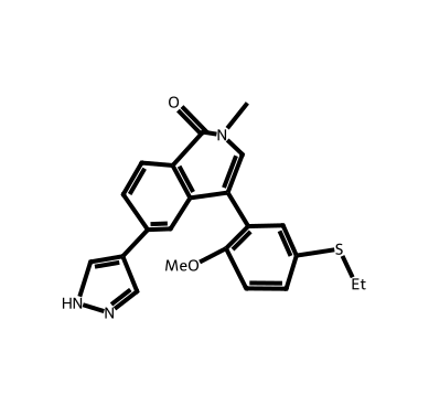 CCSc1ccc(OC)c(-c2cn(C)c(=O)c3ccc(-c4cn[nH]c4)cc23)c1